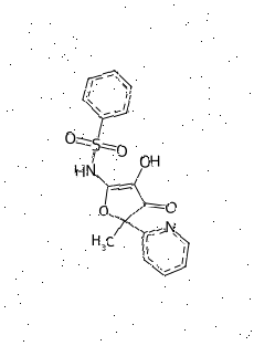 CC1(c2ccccn2)OC(NS(=O)(=O)c2ccccc2)=C(O)C1=O